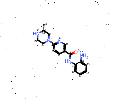 C[C@H]1CN(c2ccc(C(=O)Nc3ccccc3N)cn2)CCN1